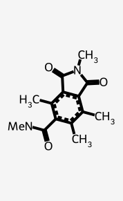 CNC(=O)c1c(C)c(C)c2c(c1C)C(=O)N(C)C2=O